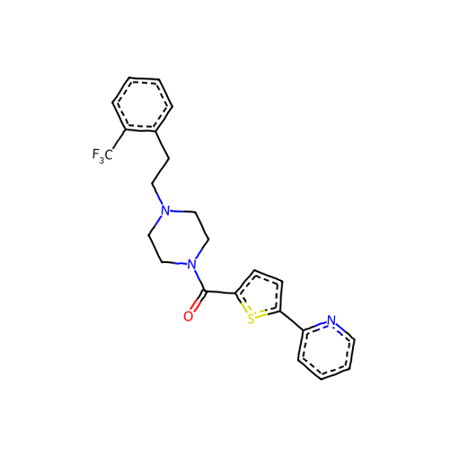 O=C(c1ccc(-c2ccccn2)s1)N1CCN(CCc2ccccc2C(F)(F)F)CC1